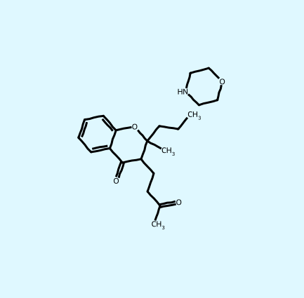 C1COCCN1.CCCC1(C)Oc2ccccc2C(=O)C1CCC(C)=O